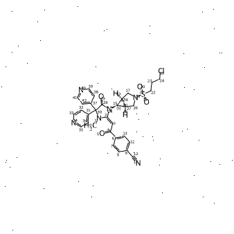 CN1C(=CC(=O)c2ccc(C#N)cc2)N([C@H]2[C@@H]3CN(S(=O)(=O)CCCCl)C[C@@H]32)C(=O)C1(c1ccncc1)c1ccncc1